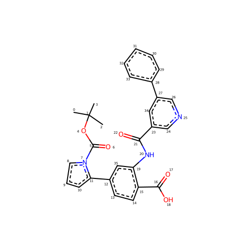 CC(C)(C)OC(=O)n1cccc1-c1ccc(C(=O)O)c(NC(=O)c2cncc(-c3ccccc3)c2)c1